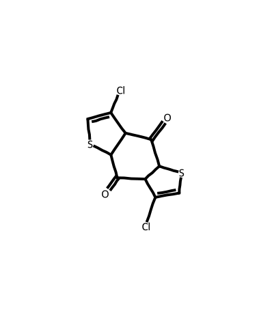 O=C1C2SC=C(Cl)C2C(=O)C2SC=C(Cl)C12